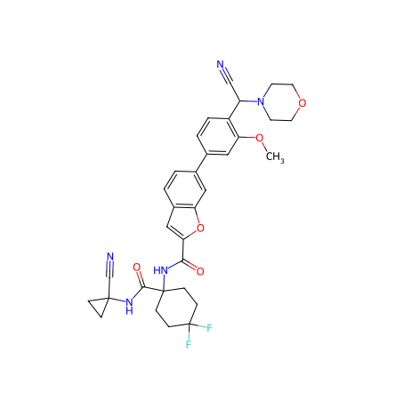 COc1cc(-c2ccc3cc(C(=O)NC4(C(=O)NC5(C#N)CC5)CCC(F)(F)CC4)oc3c2)ccc1C(C#N)N1CCOCC1